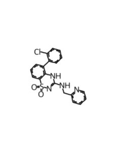 O=S1(=O)N=C(NCc2ccccn2)Nc2c(-c3ccccc3Cl)cccc21